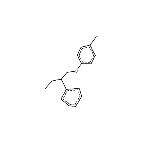 [CH2]c1ccc(OCC(CC)c2ccccc2)cc1